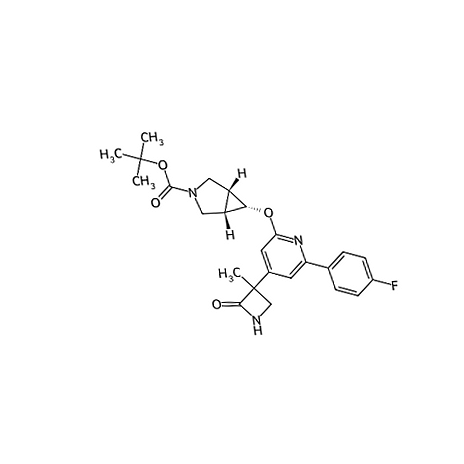 CC(C)(C)OC(=O)N1C[C@@H]2[C@H](C1)[C@@H]2Oc1cc(C2(C)CNC2=O)cc(-c2ccc(F)cc2)n1